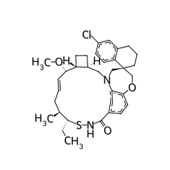 CC[C@H]1SNC(=O)c2ccc3c(c2)N(C[C@@H]2CC[C@H]2[C@@H](OC)/C=C/C[C@@H]1C)C[C@@]1(CCCc2cc(Cl)ccc21)CO3